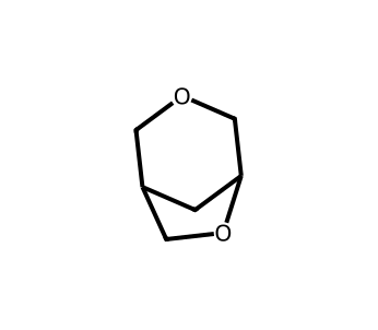 C1OCC2CC1CO2